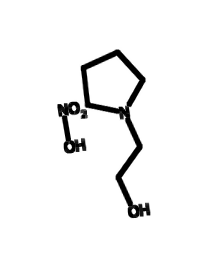 O=[N+]([O-])O.OCCN1CCCC1